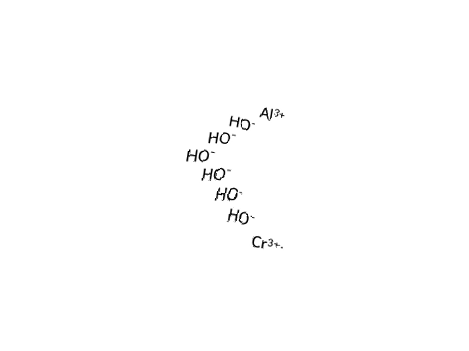 [Al+3].[Cr+3].[OH-].[OH-].[OH-].[OH-].[OH-].[OH-]